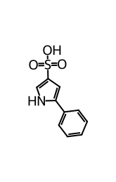 O=S(=O)(O)c1c[nH]c(-c2ccccc2)c1